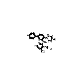 CN1CCN(c2ccc(-c3ccccc3)cc2Nc2ncnc(Cl)c2N)CC1